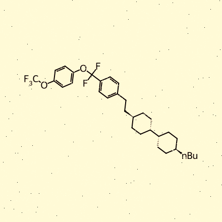 CCCC[C@H]1CC[C@H]([C@H]2CC[C@H](CCc3ccc(C(F)(F)Oc4ccc(OC(F)(F)F)cc4)cc3)CC2)CC1